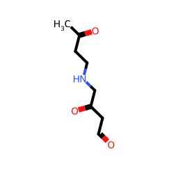 CC(=O)CCNCC(=O)CC=O